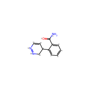 NC(=O)c1ccccc1C1C=CN=NC1